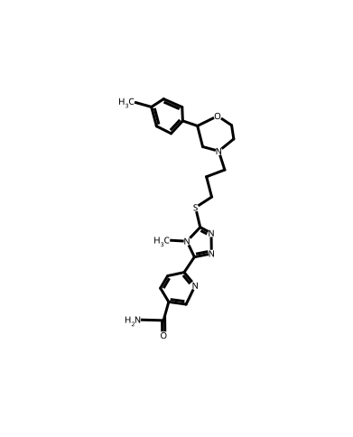 Cc1ccc(C2CN(CCCSc3nnc(-c4ccc(C(N)=O)cn4)n3C)CCO2)cc1